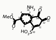 COC(=O)c1ccc2c(c1)C(S(=O)(=O)O)=CC(=O)C2=O.N